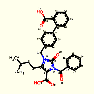 CC(C)CCc1c(C(=O)O)n(C(=O)c2ccccc2)c(=O)n1Cc1ccc(-c2ccccc2C(=O)O)cc1